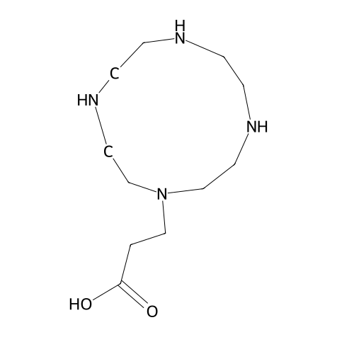 O=C(O)CCN1CCNCCNCCNCC1